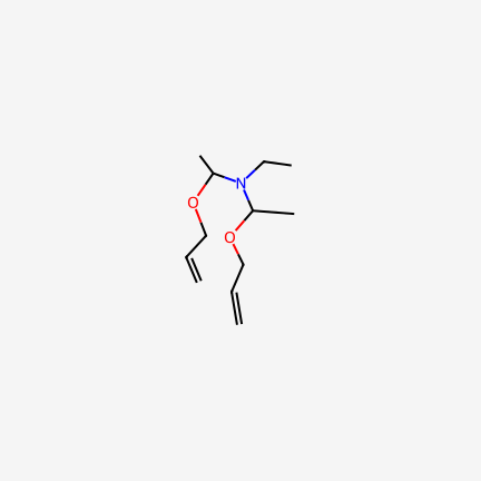 C=CCOC(C)N(CC)C(C)OCC=C